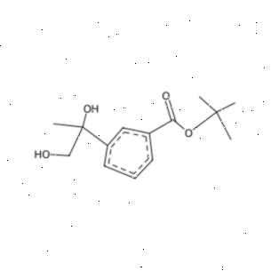 CC(C)(C)OC(=O)c1cccc(C(C)(O)CO)c1